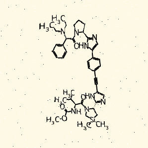 CCN(CC)[C@@H](C(=O)N1CCC[C@H]1c1ncc(-c2ccc(C#Cc3cnc([C@@H]4C[Si](C)(C)CN4C(=O)[C@@H](NC(=O)OC)C(C)C)[nH]3)cc2)[nH]1)c1ccccc1